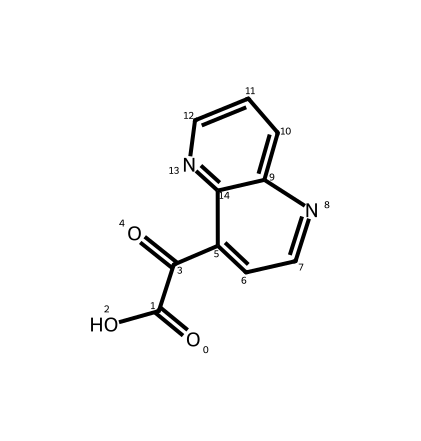 O=C(O)C(=O)c1ccnc2cccnc12